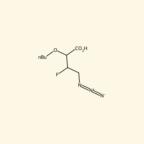 CCCCOC(C(=O)O)C(F)CN=[N+]=[N-]